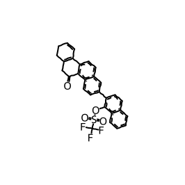 O=C1CC2=C(C=CCC2)c2ccc3cc(-c4ccc5ccccc5c4OS(=O)(=O)C(F)(F)F)ccc3c21